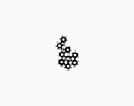 c1ccc(-c2ccccc2-c2cc(-c3cccc4c3c3ccccc3n4-c3cccc4c3sc3ccccc34)nc(-c3ccccc3-c3ccccc3)n2)cc1